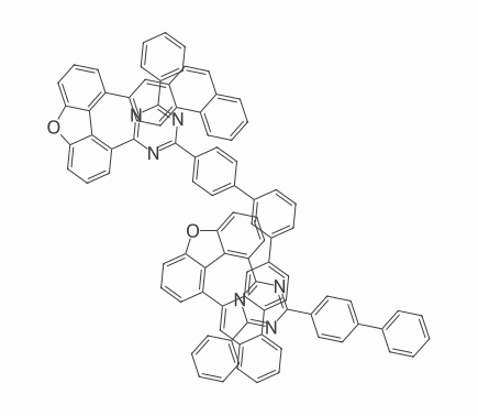 c1ccc(-c2ccc(-c3nc(-c4ccccc4)nc(-c4cccc5oc6cccc(-c7cc8ccccc8c8ccc(-c9cccc(-c%10ccc(-c%11nc(-c%12ccccc%12)nc(-c%12cccc%13oc%14cccc(-c%15ccc%16c(ccc%17ccccc%17%16)c%15)c%14c%12%13)n%11)cc%10)c9)cc78)c6c45)n3)cc2)cc1